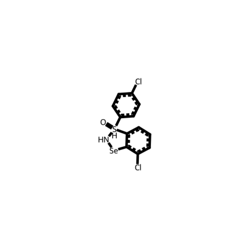 O=[SH]1(c2ccc(Cl)cc2)N[Se]c2c(Cl)cccc21